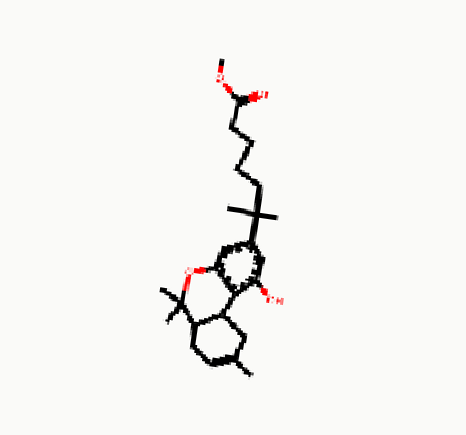 COC(=O)CCCCC(C)(C)c1cc(O)c2c(c1)OC(C)(C)C1CC=C(C)CC21